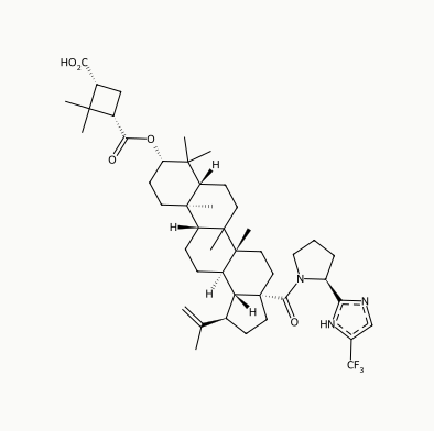 C=C(C)[C@@H]1CC[C@]2(C(=O)N3CCC[C@H]3c3ncc(C(F)(F)F)[nH]3)CC[C@]3(C)[C@H](CC[C@H]4C3(C)CC[C@H]3C(C)(C)[C@@H](OC(=O)[C@H]5C[C@@H](C(=O)O)C5(C)C)CC[C@@]34C)[C@@H]12